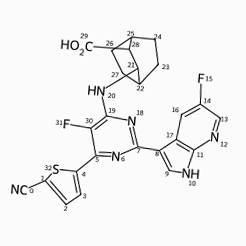 N#Cc1ccc(-c2nc(-c3c[nH]c4ncc(F)cc34)nc(NC3C4CCC(CC4)C3C(=O)O)c2F)s1